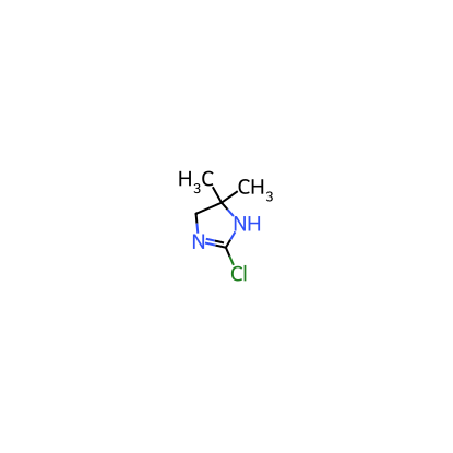 CC1(C)CN=C(Cl)N1